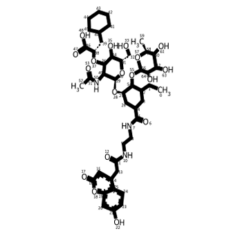 CCC1CC(C(=O)NCCNC(=O)Cc2cc(=O)oc3cc(O)ccc23)C[C@@H](O[C@@H]2O[C@@H](CO)C(O)C(O[C@@H](CC3CCCCC3)C(=O)O)C2NC(C)=O)C1OC1O[C@@H](C)C(O)C(O)[C@@H]1O